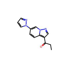 CCC(=O)c1cnn2cc(-n3cccn3)ccc12